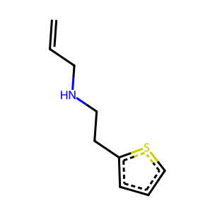 C=CCNCCc1cccs1